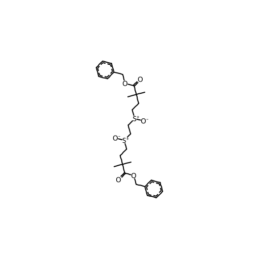 CC(C)(CC[S+]([O-])CC[S+]([O-])CCC(C)(C)C(=O)OCc1ccccc1)C(=O)OCc1ccccc1